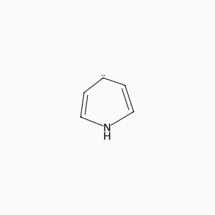 [C]1C=CNC=C1